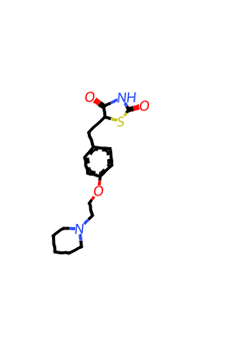 O=C1NC(=O)C(Cc2ccc(OCCN3CCCCC3)cc2)S1